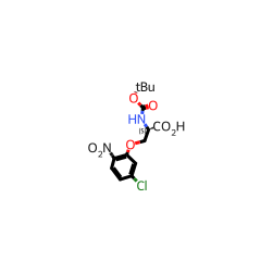 CC(C)(C)OC(=O)N[C@@H](COc1cc(Cl)ccc1[N+](=O)[O-])C(=O)O